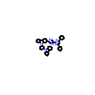 c1ccc(-c2cc(-c3ccccc3)nc(-c3cnc(-c4ccc5c6ccccc6n(-c6cccc(-n7c8ccccc8c8ccccc87)c6)c5c4)cn3)n2)cc1